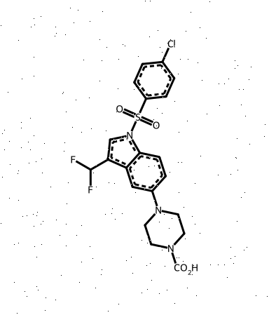 O=C(O)N1CCN(c2ccc3c(c2)c(C(F)F)cn3S(=O)(=O)c2ccc(Cl)cc2)CC1